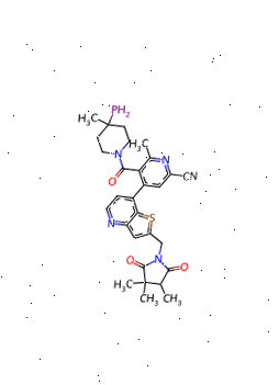 Cc1nc(C#N)cc(-c2ccnc3cc(CN4C(=O)C(C)C(C)(C)C4=O)sc23)c1C(=O)N1CCC(C)(P)CC1